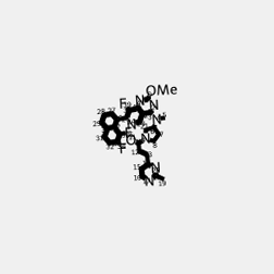 COc1nc(N(C)C2CCN(C(=O)/C=C/c3ccnc(C)n3)C2)c2cnc(-c3cccc4ccc(F)c(F)c34)c(F)c2n1